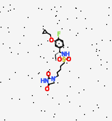 CC[C@@H](NS(=O)(=O)CCCCCN1CC(=O)NC1=O)c1ccc(F)c(OCC2CC2)c1